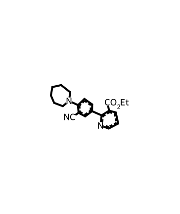 CCOC(=O)c1cccnc1-c1ccc(N2CCCCCC2)c(C#N)c1